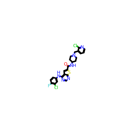 O=C(NC1CCN(Cc2cccnc2Cl)CC1)c1cc2c(Nc3ccc(F)c(Cl)c3)ncnc2s1